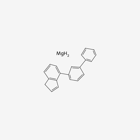 C1=Cc2c(cccc2-c2cccc(-c3ccccc3)c2)C1.[MgH2]